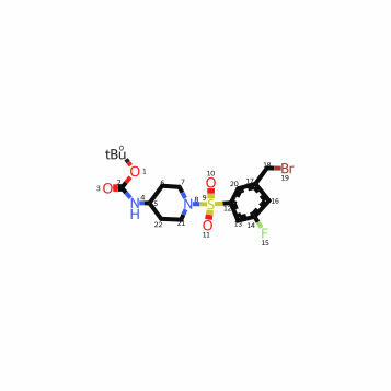 CC(C)(C)OC(=O)NC1CCN(S(=O)(=O)c2cc(F)cc(CBr)c2)CC1